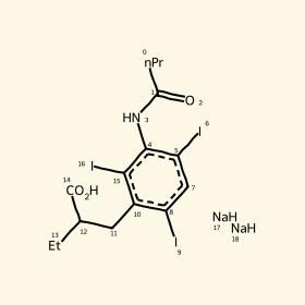 CCCC(=O)Nc1c(I)cc(I)c(CC(CC)C(=O)O)c1I.[NaH].[NaH]